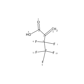 C=C(C(=O)O)C(F)(F)C(F)(F)F